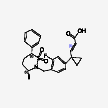 C[C@H]1CC[C@H](c2ccccc2)S(=O)(=O)N1Cc1ccc(C2(/C=C/C(=O)O)CC2)cc1F